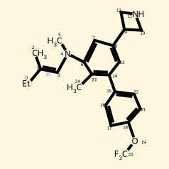 CC/C(C)=C/N(C)c1cc(C2CNC2)cc(-c2ccc(OC(F)(F)F)cc2)c1C